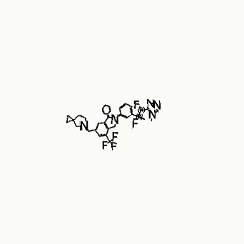 Cn1cnnc1[C@@H](F)[C@](C)(F)c1cccc(N2Cc3c(cc(CN4CCC5(CC5)C4)cc3C(F)(F)F)C2=O)c1